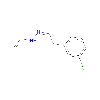 C=CN/N=C\Cc1cccc(Cl)c1